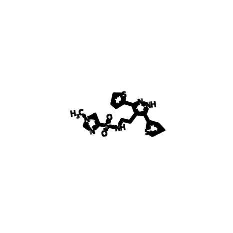 Cn1cnc(S(=O)(=O)NCCc2c(-c3cccs3)n[nH]c2-c2cccs2)c1